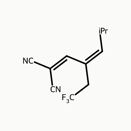 CC(C)/C=C(\C=C(C#N)C#N)CC(F)(F)F